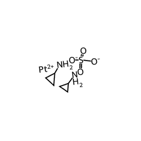 NC1CC1.NC1CC1.O=S(=O)([O-])[O-].[Pt+2]